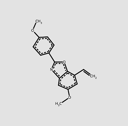 C=Cc1cc(OC)cc2nc(-c3ccc(OC)cc3)oc12